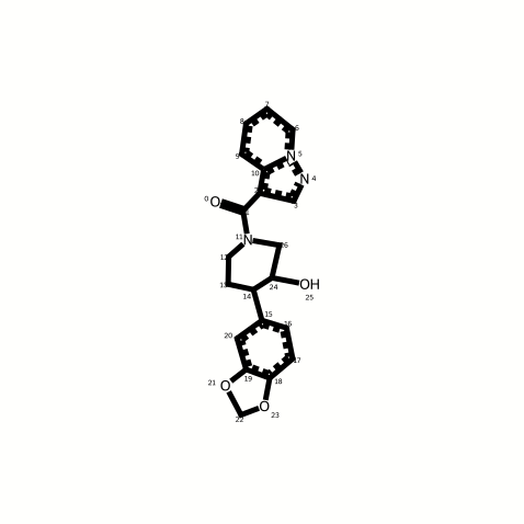 O=C(c1cnn2ccccc12)N1CCC(c2ccc3c(c2)OCO3)C(O)C1